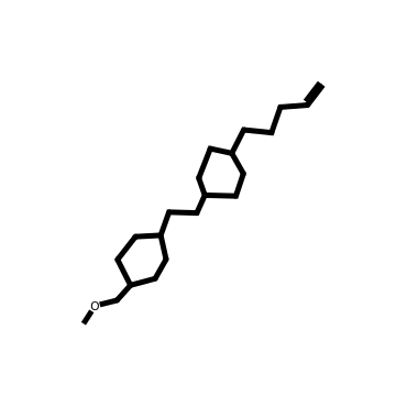 C=CCCCC1CCC(CCC2CCC(COC)CC2)CC1